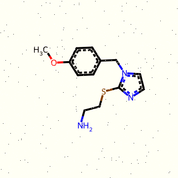 COc1ccc(Cn2ccnc2SCCN)cc1